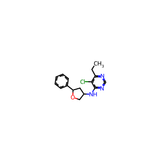 CCc1ncnc(NC2COC(c3ccccc3)C2)c1Cl